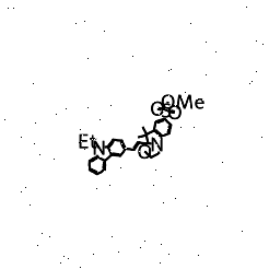 CCn1c2ccccc2c2cc(/C=C/C34OCCN3c3ccc(S(=O)(=O)OC)cc3C4(C)C)ccc21